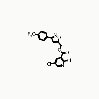 O=C(OCc1cc(-c2ccc(C(F)(F)F)cc2)no1)c1cc(Cl)cnc1Cl